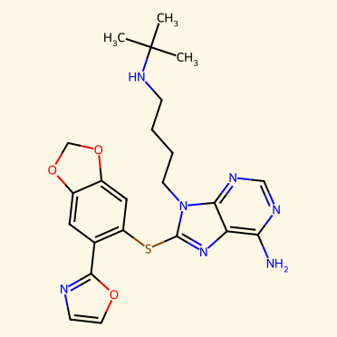 CC(C)(C)NCCCCn1c(Sc2cc3c(cc2-c2ncco2)OCO3)nc2c(N)ncnc21